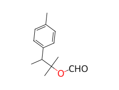 Cc1ccc(C(C)C(C)(C)OC=O)cc1